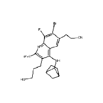 CSc1nc2c(F)c(Br)c(CCC#N)cc2c(NC2C3CCC2C3)c1CCCO